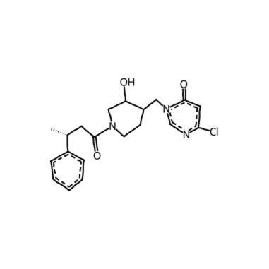 C[C@H](CC(=O)N1CCC(Cn2cnc(Cl)cc2=O)C(O)C1)c1ccccc1